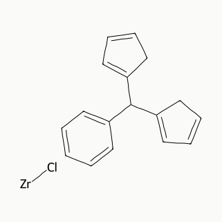 C1=CCC(C(C2=CC=CC2)c2ccccc2)=C1.[Cl][Zr]